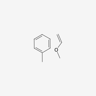 C=COC.Cc1ccccc1